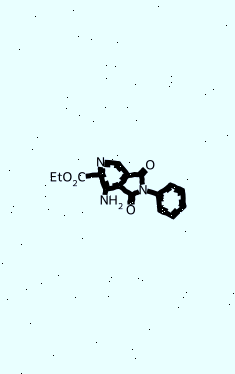 CCOC(=O)c1ncc2c(c1N)C(=O)N(c1ccccc1)C2=O